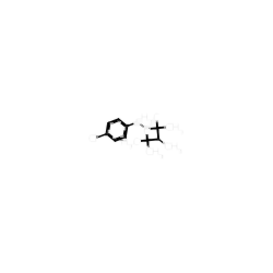 CC1C(C)(C)P(Sc2ccc(Cl)cc2)C1(C)C